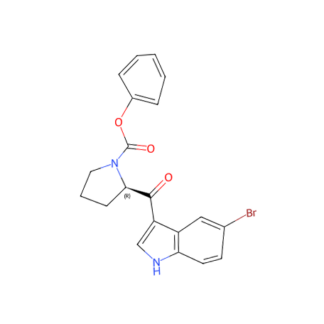 O=C(c1c[nH]c2ccc(Br)cc12)[C@H]1CCCN1C(=O)Oc1ccccc1